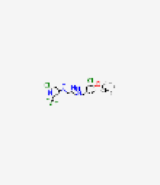 CC(C)Oc1ccc(Cn2cc(CNc3cc(Cl)nc(C(F)(F)F)c3)nn2)cc1Cl